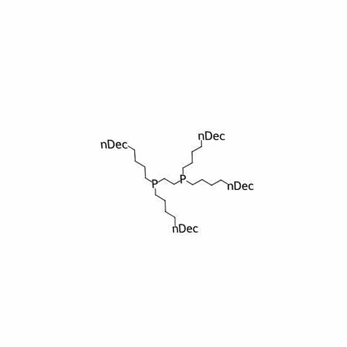 CCCCCCCCCCCCCCP(CCCCCCCCCCCCCC)CCP(CCCCCCCCCCCCCC)CCCCCCCCCCCCCC